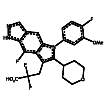 COc1cc(-n2c(C3CCOCC3)c(CC(F)(F)C(=O)O)c3c(F)c4[nH]ncc4cc32)ccc1F